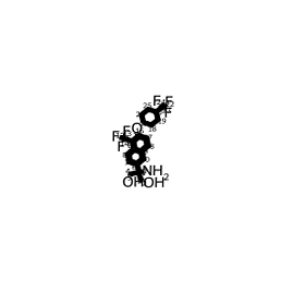 NC(CO)(CO)c1ccc2c(C(F)(F)F)c(OC3CCC(C(F)(F)F)CC3)ccc2c1